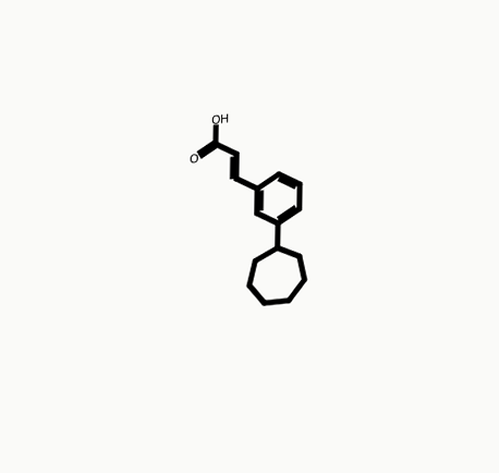 O=C(O)C=Cc1cccc(C2CCCCCC2)c1